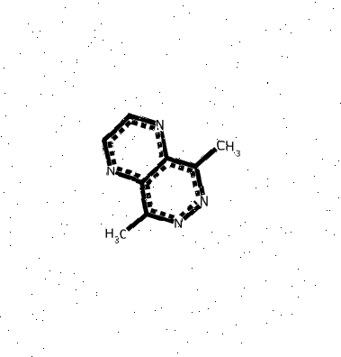 Cc1nnc(C)c2nccnc12